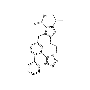 CCCc1cc(C(C)C)c(C(=O)O)n1Cc1ccc(-c2ccccc2)c(-c2nnn[nH]2)c1